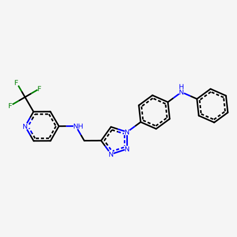 FC(F)(F)c1cc(NCc2cn(-c3ccc(Nc4ccccc4)cc3)nn2)ccn1